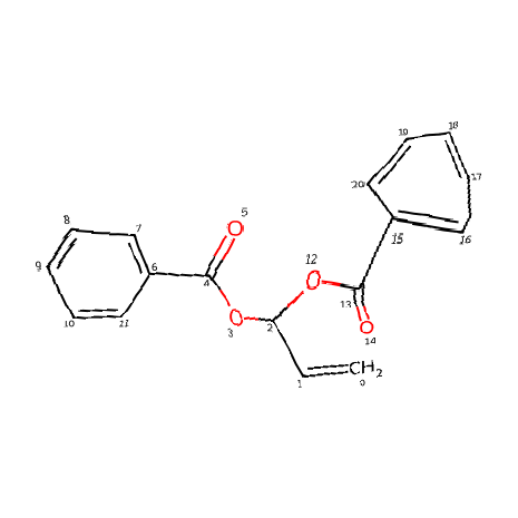 C=CC(OC(=O)c1ccccc1)OC(=O)c1ccccc1